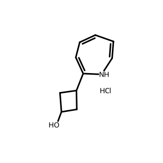 Cl.OC1CC(C2=CC=CC=CN2)C1